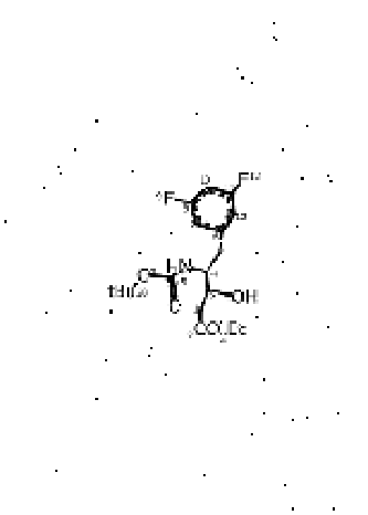 CCOC(=O)C[C@H](O)[C@H](Cc1cc(F)cc(F)c1)NC(=O)OC(C)(C)C